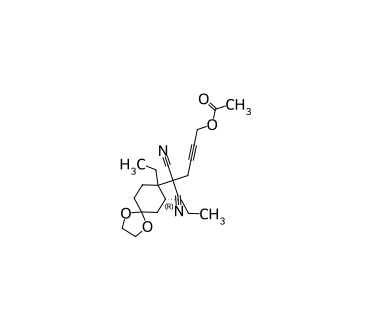 CCC[C@@H]1CC2(CCC1(CC)C(C#N)(C#N)CC#CCOC(C)=O)OCCO2